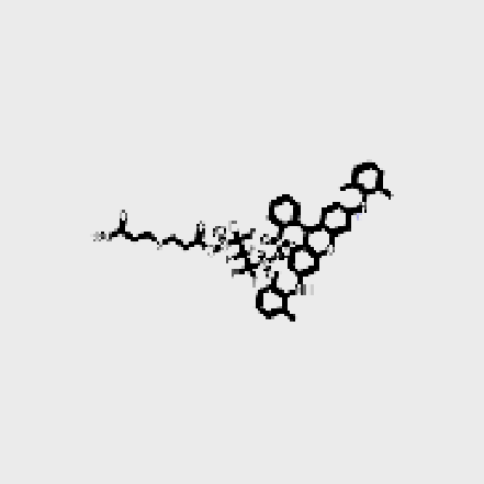 Cc1cccc(C)c1/N=c1\ccc2c(-c3ccccc3S(=O)(=O)NS(=O)(=O)C(F)(F)C(F)(F)C(F)(F)S(=O)(=O)OC(=O)CCSCCC(=O)C(C)(C)C)c3ccc(Nc4c(C)cccc4C)cc3oc-2c1